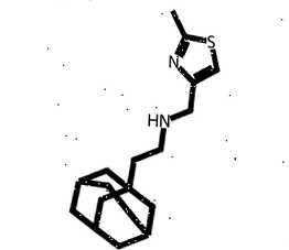 Cc1nc(CNCCC23CC4CC(CC(C4)C2)C3)cs1